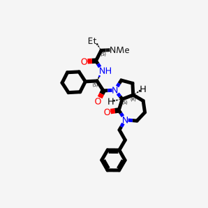 CC[C@H](NC)C(=O)N[C@H](C(=O)N1CC[C@H]2CCCN(CCc3ccccc3)C(=O)[C@H]21)C1CCCCC1